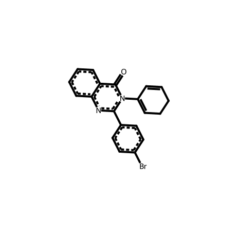 O=c1c2ccccc2nc(-c2ccc(Br)cc2)n1C1=CCCC=C1